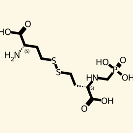 N[C@@H](CCSSCC[C@H](NCP(=O)(O)O)C(=O)O)C(=O)O